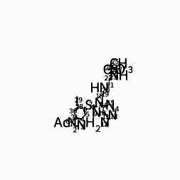 CC(=O)n1cnc2cc(Sc3nc4c(N)ncnc4n3CCNCCNS(C)(=O)=O)c(I)cc21